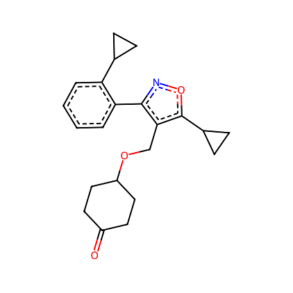 O=C1CCC(OCc2c(-c3ccccc3C3CC3)noc2C2CC2)CC1